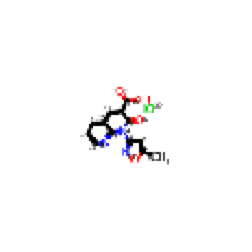 Cc1cc(-n2c(=O)c(C(=O)O)cc3cccnc32)no1.Cl